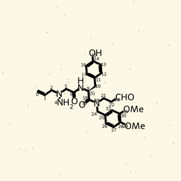 C=CCN(N)CC(=O)N[C@@H](Cc1ccc(O)cc1)C(=O)N(CCC=O)Cc1ccc(OC)c(OC)c1